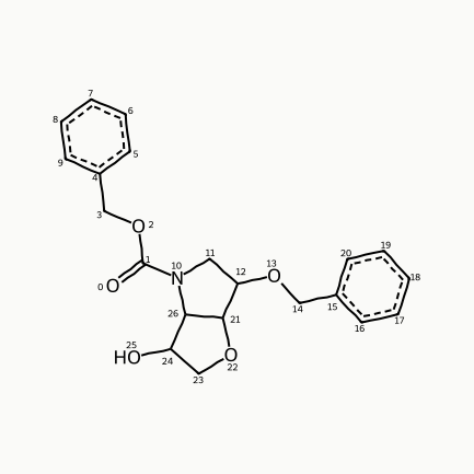 O=C(OCc1ccccc1)N1CC(OCc2ccccc2)C2OCC(O)C21